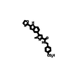 Cn1nc(C(=O)NCc2ccc(C(=O)O)cc2)cc1-c1ccc2[nH]c(C3=NCCO3)cc2c1